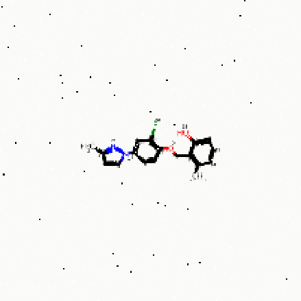 Cc1ccn(-c2ccc(OCc3c(C)cccc3O)c(F)c2)n1